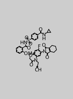 C#CCN1C(=O)COc2cc(F)c(N3C(=O)C4=C(CCCC4)C3=O)cc21.COc1ccccc1C(=O)NS(=O)(=O)c1ccc(C(=O)NC2CC2)cc1